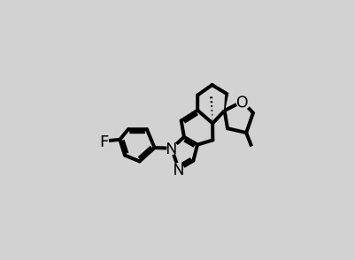 CC1CO[C@]2(CCCC3=Cc4c(cnn4-c4ccc(F)cc4)C[C@@]32C)C1